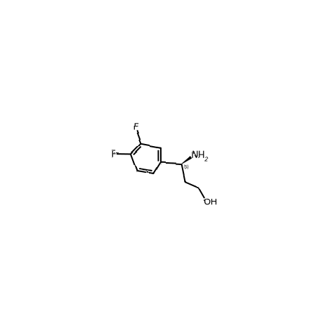 N[C@@H](CCO)c1ccc(F)c(F)c1